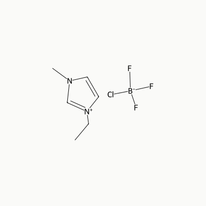 CC[n+]1ccn(C)c1.F[B-](F)(F)Cl